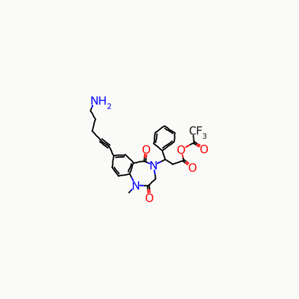 CN1C(=O)CN(C(CC(=O)OC(=O)C(F)(F)F)c2ccccc2)C(=O)c2cc(C#CCCCN)ccc21